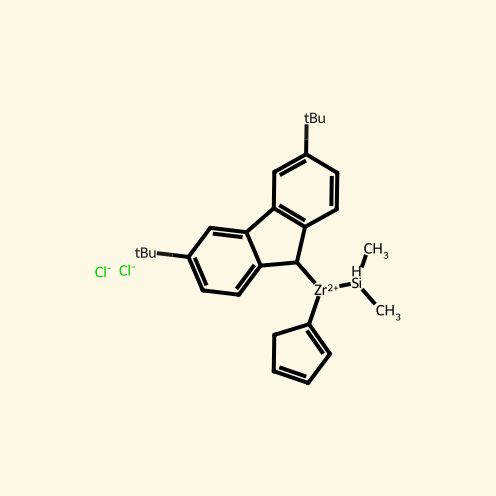 C[SiH](C)[Zr+2]([C]1=CC=CC1)[CH]1c2ccc(C(C)(C)C)cc2-c2cc(C(C)(C)C)ccc21.[Cl-].[Cl-]